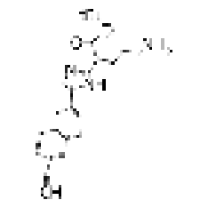 C#Cc1ccc2cc(-c3cnc([C@H](CCCN)C(=O)OC(C)(C)C)[nH]3)ccc2c1